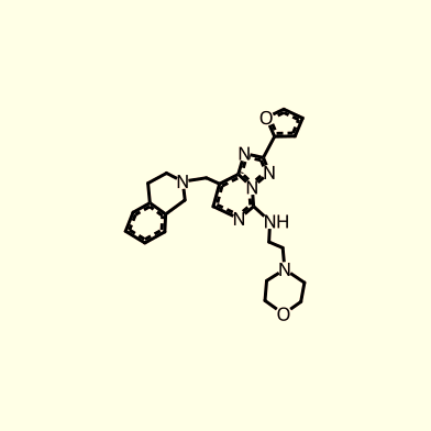 c1coc(-c2nc3c(CN4CCc5ccccc5C4)cnc(NCCN4CCOCC4)n3n2)c1